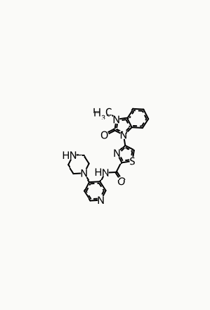 Cn1c(=O)n(-c2csc(C(=O)Nc3cnccc3N3CCNCC3)n2)c2ccccc21